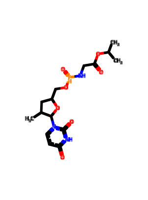 CC(C)OC(=O)CN[PH](=O)OCC1CC(C)C(n2ccc(=O)[nH]c2=O)O1